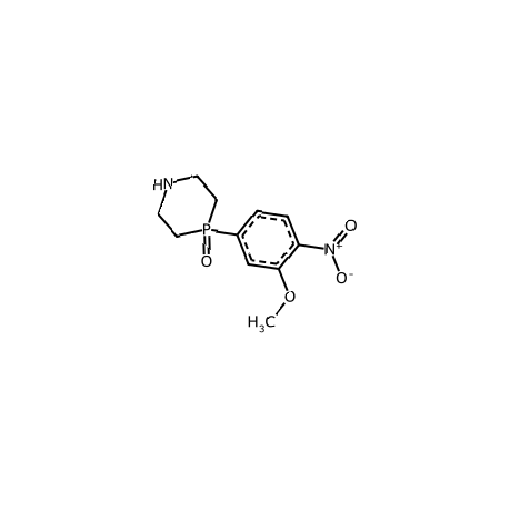 COc1cc(P2(=O)CCNCC2)ccc1[N+](=O)[O-]